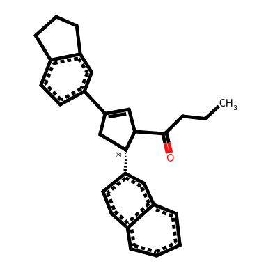 CCCC(=O)C1C=C(c2ccc3c(c2)CCC3)C[C@H]1c1ccc2ccccc2c1